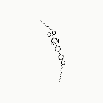 CCCCCCCCOc1ccc(-c2ccc(-c3ncc(C(=O)O[C@@H](C)CCCCCCC)cn3)cc2)cc1